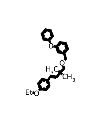 CCOc1ccc(C=CC(C)(C)COCc2cccc(Oc3ccccc3)c2)cc1